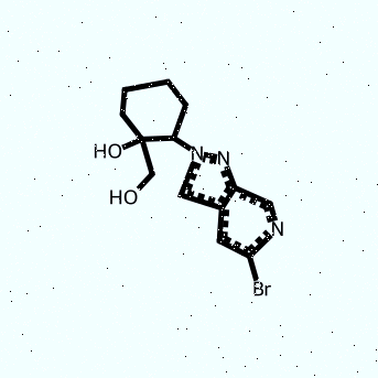 OCC1(O)CCCCC1n1cc2cc(Br)ncc2n1